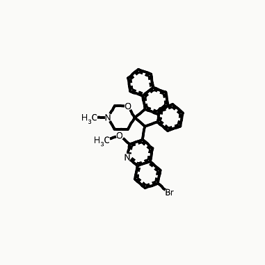 COc1nc2ccc(Br)cc2cc1C(c1ccccc1)C1(c2cccc3ccccc23)CCN(C)CO1